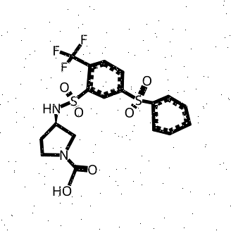 O=C(O)N1CC[C@@H](NS(=O)(=O)c2cc(S(=O)(=O)c3ccccc3)ccc2C(F)(F)F)C1